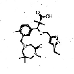 CCn1cc(COC(c2ccc(C)c(CN3CC(=O)N(C)CC(C)(C)C3)c2)C(C)(C)C(=O)O)nn1